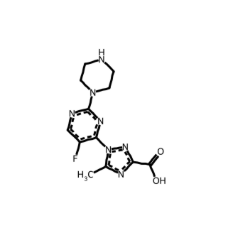 Cc1nc(C(=O)O)nn1-c1nc(N2CCNCC2)ncc1F